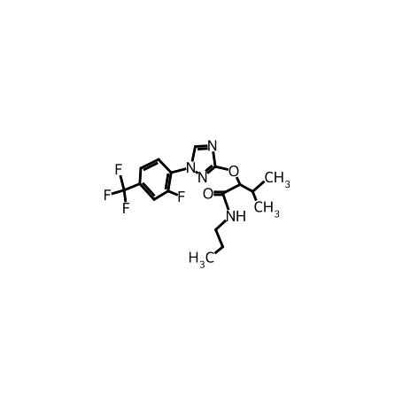 CCCNC(=O)C(Oc1ncn(-c2ccc(C(F)(F)F)cc2F)n1)C(C)C